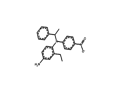 CCc1cc(N)ccc1N(c1ccc([N+](=O)[O-])cc1)C(C)c1ccccc1